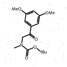 COc1cc(OC)cc(C(=O)CN(C)C(=O)OC(C)(C)C)c1